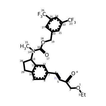 CCOCC(=O)/C=C/c1ccc2c(c1)C(N(C)C(=O)OCc1cc(C(F)(F)F)cc(C(F)(F)F)c1)CC2